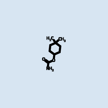 CC1(C)CCC(OC(N)=O)CC1